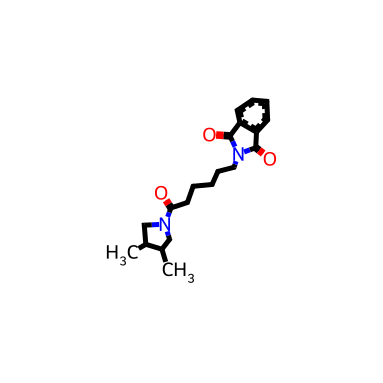 CC1CN(C(=O)CCCCCN2C(=O)c3ccccc3C2=O)CC1C